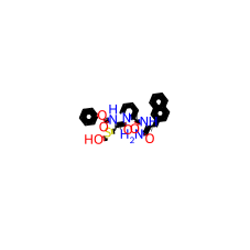 NC(=O)[C@H](Cc1ccc2ccccc2c1)NC(=O)[C@@H]1CCCCN1C(=O)[C@H](CSCO)NC(=O)Oc1ccccc1